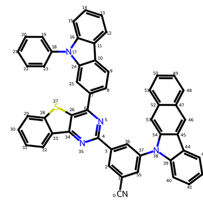 N#Cc1cc(-c2nc(-c3ccc4c5ccccc5n(-c5ccccc5)c4c3)c3sc4ccccc4c3n2)cc(-n2c3ccccc3c3cc4ccccc4cc32)c1